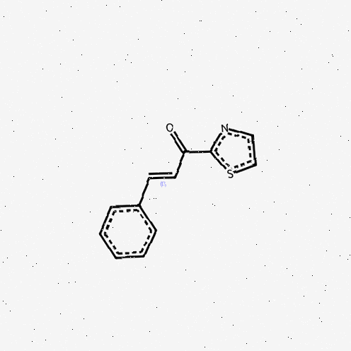 O=C(/C=C/c1ccccc1)c1nccs1